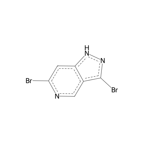 Brc1cc2[nH]nc(Br)c2cn1